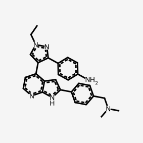 CCn1cc(-c2ccnc3[nH]c(-c4ccc(CN(C)C)cc4)cc23)c(-c2ccc(N)cc2)n1